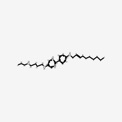 CCCCCCCC=CCOc1ccc(-c2ncc(OCCCCOCCC)cn2)cc1